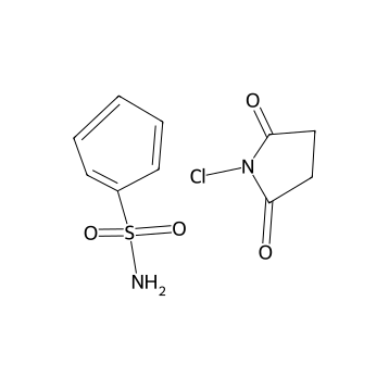 NS(=O)(=O)c1ccccc1.O=C1CCC(=O)N1Cl